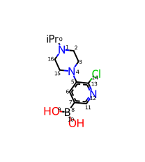 CC(C)N1CCN(c2cc(B(O)O)cnc2Cl)CC1